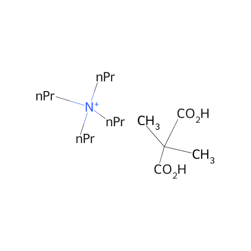 CC(C)(C(=O)O)C(=O)O.CCC[N+](CCC)(CCC)CCC